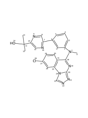 CN(c1cccc(-c2cnc(C(C)(C)O)cn2)c1)c1nc2nncn2c2cc(Cl)ccc12